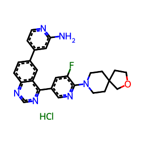 Cl.Nc1cc(-c2ccc3ncnc(-c4cnc(N5CCC6(CCOC6)CC5)c(F)c4)c3c2)ccn1